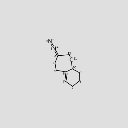 [N-]=[N+]=C1CCC2=CCCCC2CC1